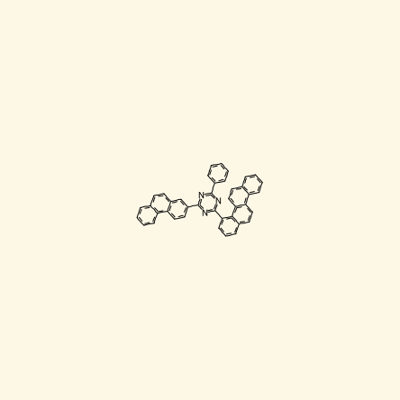 c1ccc(-c2nc(-c3ccc4c(ccc5ccccc54)c3)nc(-c3cccc4ccc5c6ccccc6ccc5c34)n2)cc1